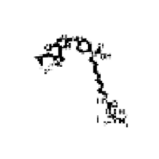 Cn1ncc(-c2nc(N[C@H]3CC[C@H](N(CCCCCCCCNC(=O)OC(C)(C)C)C(=O)O)CC3)ncc2Cl)c1CC1CC1